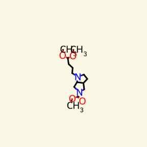 COC(=O)N1CC2CCN(CCCC(OC)OC)C2C1